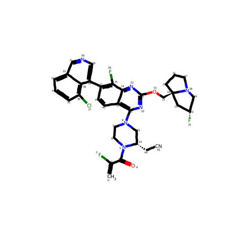 C=C(F)C(=O)N1CCN(c2nc(OC[C@@]34CCCN3C[C@H](F)C4)nc3c(F)c(-c4cncc5cccc(Cl)c45)ccc23)C[C@@H]1CC#N